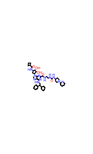 O=C(NCCNC(=O)c1nc(NCC(c2ccccc2)c2ccccc2)c2ncn([C@@H]3C[C@H](NC(=O)C4CCC4)[C@@H](O)[C@H]3O)c2n1)NC1CCN(c2ccccn2)CC1